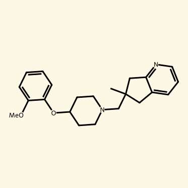 COc1ccccc1OC1CCN(CC2(C)Cc3cccnc3C2)CC1